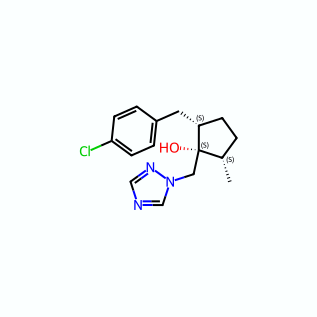 C[C@H]1CC[C@@H](Cc2ccc(Cl)cc2)[C@]1(O)Cn1cncn1